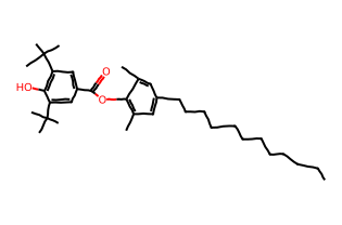 CCCCCCCCCCCCc1cc(C)c(OC(=O)c2cc(C(C)(C)C)c(O)c(C(C)(C)C)c2)c(C)c1